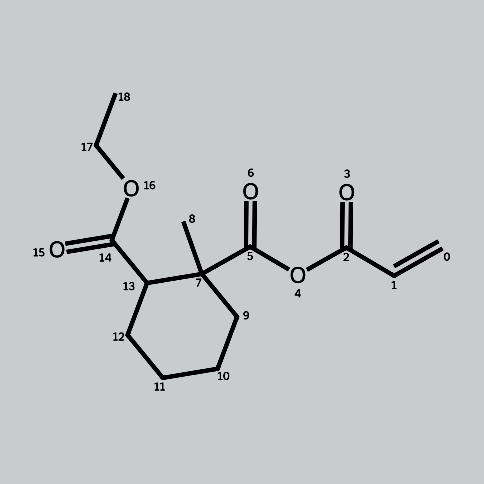 C=CC(=O)OC(=O)C1(C)CCCCC1C(=O)OCC